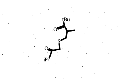 CC(C)C(=O)CSCC(C)C(=O)C(C)(C)C